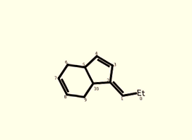 CC/C=C1\C=CC2CC=CCC12